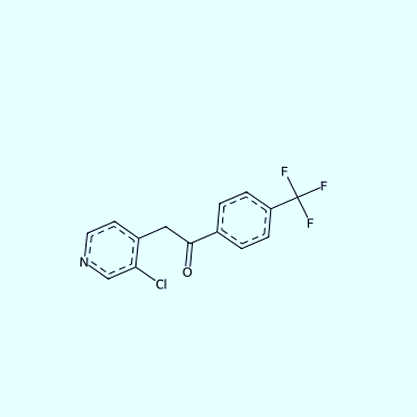 O=C(Cc1ccncc1Cl)c1ccc(C(F)(F)F)cc1